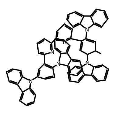 CC1C=C(n2c3ccccc3c3ccccc32)C(c2cccc(-c3cccc(-c4cc(-n5c6ccccc6c6ccccc65)ccc4-n4c5ccccc5c5ccccc54)n3)n2)=CC1n1c2ccccc2c2ccccc21